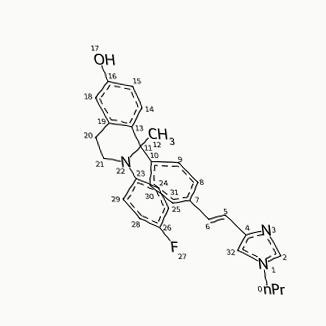 CCCn1cnc(/C=C/c2ccc(C3(C)c4ccc(O)cc4CCN3c3ccc(F)cc3)cc2)c1